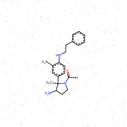 CCC(=O)N1CCC(N)C1(C)c1ccc(NCCc2ccccc2)c([N+](=O)[O-])c1